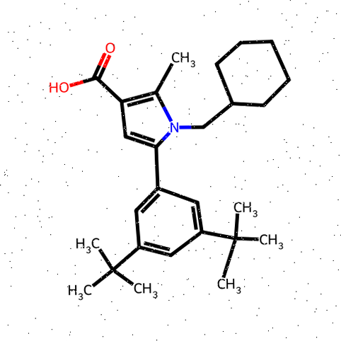 Cc1c(C(=O)O)cc(-c2cc(C(C)(C)C)cc(C(C)(C)C)c2)n1CC1CCCCC1